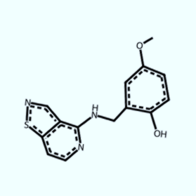 COc1ccc(O)c(CNc2nccc3sncc23)c1